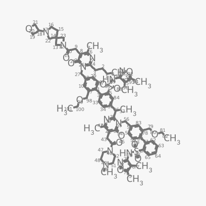 CCCCc1nc(C)c(CC(=O)N2CC3(CCN(C4COC4)C3)C2)c(=O)n1Cc1ccc(-c2ccc(C(C)c3nc(C)c(CC(=O)N4CCN(C)CC4)c(=O)n3Cc3ccc(-c4ccccc4S(=O)(=O)Nc4noc(C)c4C)c(COCC)c3)cc2S(=O)(=O)Nc2noc(C)c2C)c(COCC)c1